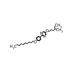 CCCCCCCCCCOc1ccc(-c2ncc(OCCCC(C)CC)cn2)cc1